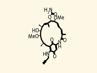 C#CCNC1=C2C[C@@H](C)C[C@H](OC)[C@H](O)[C@@H](C)/C=C(\C)[C@H](OC(N)=O)[C@@H](OC)/C=C/C=C(/C)C(=O)NC(=CC1=O)C2=O